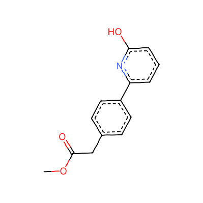 COC(=O)Cc1ccc(-c2cccc(O)n2)cc1